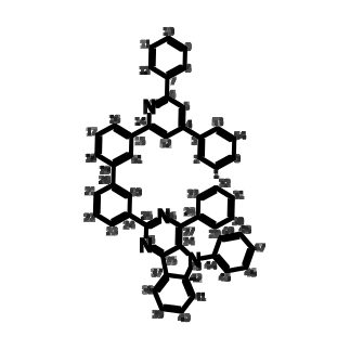 c1ccc(-c2cc(-c3ccccc3)nc(-c3cccc(-c4cccc(-c5nc(-c6ccccc6)c6c(n5)c5ccccc5n6-c5ccccc5)c4)c3)c2)cc1